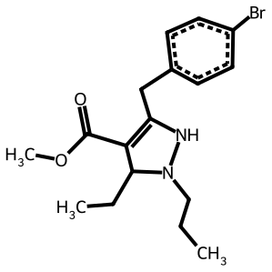 CCCN1NC(Cc2ccc(Br)cc2)=C(C(=O)OC)C1CC